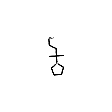 COCCC(C)(C)N1CCCC1